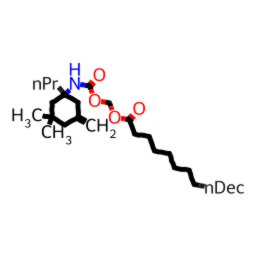 C=C1CC(C)(C)CC(CCC)(NC(=O)OCOC(=O)CCCCCCCCCCCCCCCCC)C1